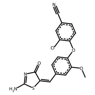 COc1cc(C=C2SC(N)=NC2=O)ccc1Oc1ccc(C#N)cc1Cl